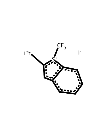 CC(C)c1cc2ccccc2[s+]1C(F)(F)F.[I-]